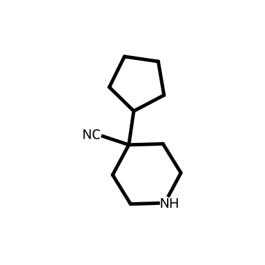 N#CC1(C2CCCC2)CCNCC1